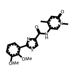 COc1cccc(-c2nc(C(=O)Nc3cn(C)c(=O)cc3C)cs2)c1OC